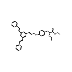 CCOC(=O)C(Cc1ccc(OCC=Cc2cc(C=Cc3ccccc3)cc(C=Cc3ccccc3)c2)cc1)OCC